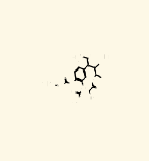 CCCCOC(=O)Oc1ccc(C(C(C)C(C)OC(=O)CC(C)CC)[C@H](N)C(=O)O)cc1OC(=O)OCCCC